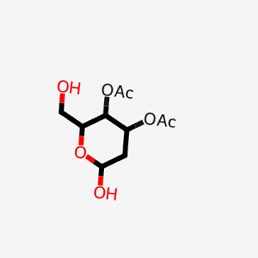 CC(=O)OC1CC(O)OC(CO)C1OC(C)=O